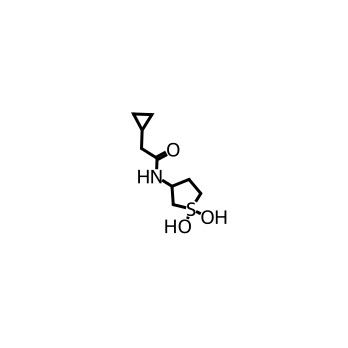 O=C(CC1CC1)NC1CCS(O)(O)C1